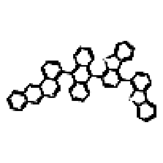 c1ccc2cc3c(ccc4c(-c5c6ccccc6c(-c6ccc(-c7cccc8c7oc7ccccc78)c7c6oc6ccccc67)c6ccccc56)cccc43)cc2c1